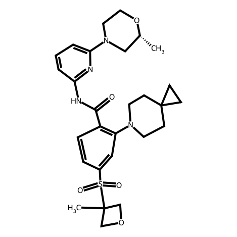 C[C@@H]1CN(c2cccc(NC(=O)c3ccc(S(=O)(=O)C4(C)COC4)cc3N3CCC4(CC3)CC4)n2)CCO1